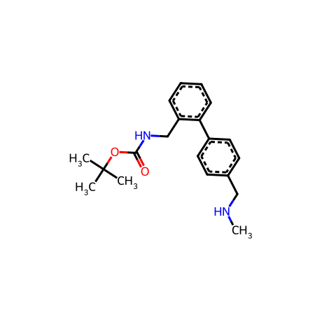 CNCc1ccc(-c2ccccc2CNC(=O)OC(C)(C)C)cc1